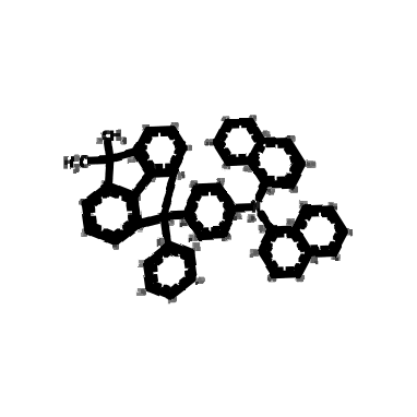 CC1(C)c2cccc3c2-c2c1cccc2C3(c1ccccc1)c1ccc(N(c2cccc3ccccc23)c2cccc3ccccc23)cc1